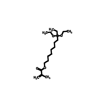 C=C(C)C(=O)OCCCCCCCC[Si](CC)(OCC)OCC